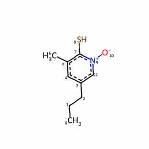 CCCc1cc(C)c(S)[n+]([O-])c1